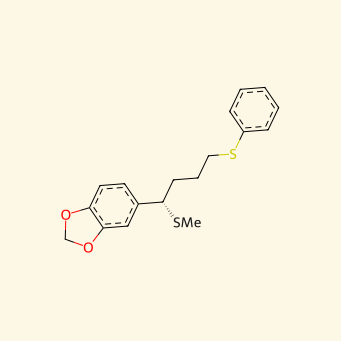 CS[C@@H](CCCSc1ccccc1)c1ccc2c(c1)OCO2